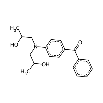 CC(O)CN(CC(C)O)c1ccc(C(=O)c2ccccc2)cc1